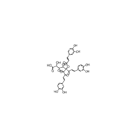 O=C(C=Cc1ccc(O)c(O)c1)O[C@@](C(=O)C=Cc1ccc(O)c(O)c1)(C(=O)C(=O)C=Cc1ccc(O)c(O)c1)[C@H](O)[C@@H](O)[C@H](O)C(=O)O